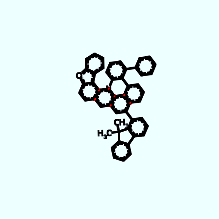 CC1(C)c2ccccc2-c2cccc(-c3ccc(N(c4cccc(-c5ccccc5)c4-c4ccccc4-c4ccccc4)c4cccc5oc6ccccc6c45)cc3)c21